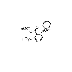 C1=CCCCC1.CCCCCCCCOC(=O)c1c(CCCCCCCC)cccc1C(=O)O